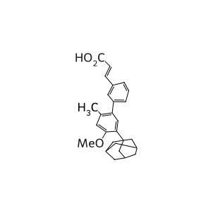 COc1cc(C)c(-c2cccc(/C=C/C(=O)O)c2)cc1C12CC3CC(CC(C3)C1)C2